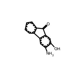 Nc1cc2c(cc1O)C(=O)c1ccccc1-2